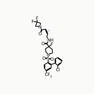 O=C(/C=C\CNC(=O)C1(F)CCN(S(=O)(=O)c2ccc(C(F)(F)F)cc2-c2ccccc2Cl)CC1)N1CC(F)(F)C1